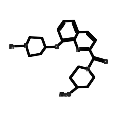 COC1CCN(C(=O)c2ccc3cccc(OC4CCN(C(C)C)CC4)c3n2)CC1